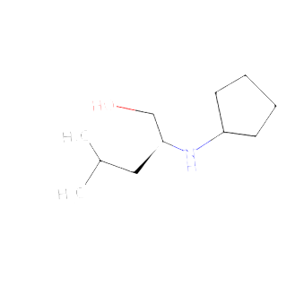 CC(C)C[C@@H](CO)NC1CCCC1